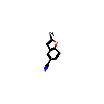 Cc1cc2cc(C#N)ccc2o1